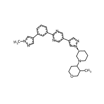 CC1COCCC1N1CCC[C@H](n2cc(-c3cnc(-c4cccc(-c5cnn(C)c5)c4)nc3)cn2)C1